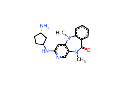 CN1C(=O)c2ccccc2N(C)c2cc(N[C@H]3CC[C@H](N)C3)ncc21